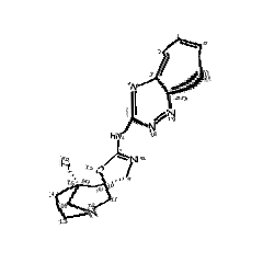 c1ccc2nc(NC3=NC[C@@]4(CN5CC[C@@H]4C5)O3)nnc2c1